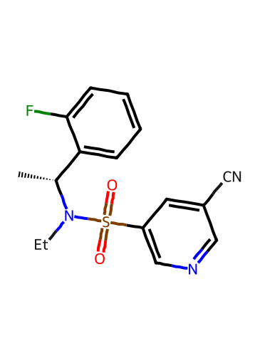 CCN([C@H](C)c1ccccc1F)S(=O)(=O)c1cncc(C#N)c1